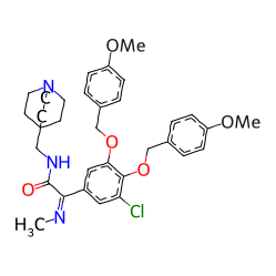 C/N=C(\C(=O)NCC12CCN(CC1)CC2)c1cc(Cl)c(OCc2ccc(OC)cc2)c(OCc2ccc(OC)cc2)c1